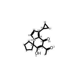 CC(=O)C1=C(O)C2(CCCC2)n2ccc(C3CC3)c2C1=O